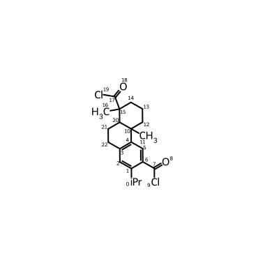 CC(C)c1cc2c(cc1C(=O)Cl)C1(C)CCCC(C)(C(=O)Cl)C1CC2